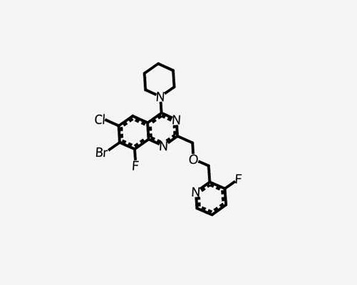 Fc1cccnc1COCc1nc(N2CCCCC2)c2cc(Cl)c(Br)c(F)c2n1